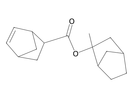 CC1(OC(=O)C2CC3C=CC2C3)CC2CCC1C2